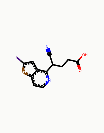 N#CC(CCC(=O)O)c1nccc2sc(I)cc12